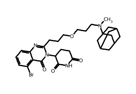 CN(CCCOCCCc1nc2cccc(Br)c2c(=O)n1C1CCC(=O)NC1=O)C12CC3CC(CC(C3)C1)C2